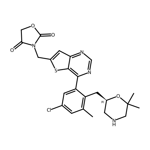 Cc1cc(Cl)cc(-c2ncnc3cc(CN4C(=O)COC4=O)sc23)c1C[C@@H]1CNCC(C)(C)O1